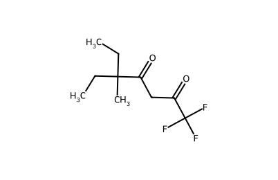 CCC(C)(CC)C(=O)CC(=O)C(F)(F)F